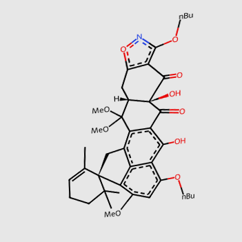 CCCCOc1noc2c1C(=O)[C@]1(O)C(=O)c3c(c4c5c(c(OC)cc(OCCCC)c5c3O)[C@@]3(C4)C(C)=CCCC3(C)C)C(OC)(OC)[C@@H]1C2